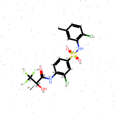 Cc1ccc(Cl)c(NS(=O)(=O)c2ccc(NC(=O)[C@@](C)(O)C(F)(F)F)c(Cl)c2)c1